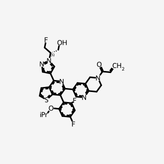 C=CC(=O)N1CCc2ncc(-c3nc(-c4cnn([C@@H](CO)CF)c4)c4ccsc4c3-c3c(F)cc(F)cc3OC(C)C)cc2C1